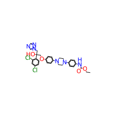 CCOC(=O)Nc1ccc(N2CCN(c3ccc(OCC(O)(Cn4cncn4)c4ccc(Cl)cc4Cl)cc3)CC2)cc1